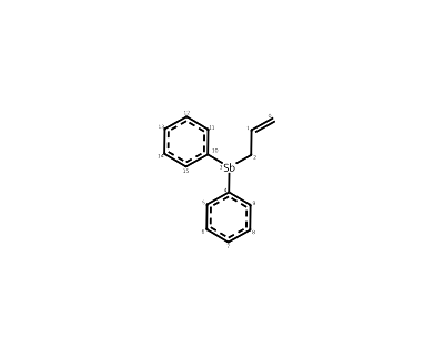 C=C[CH2][Sb]([c]1ccccc1)[c]1ccccc1